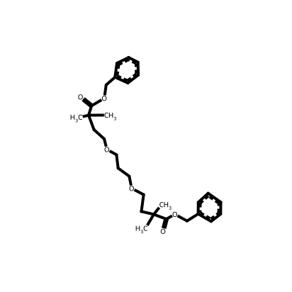 CC(C)(CCOCCCOCCC(C)(C)C(=O)OCc1ccccc1)C(=O)OCc1ccccc1